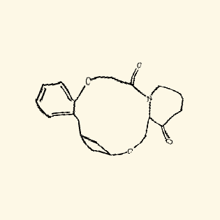 O=C1CCCN2C(=O)COc3ccccc3C3CC(C3)OCC12